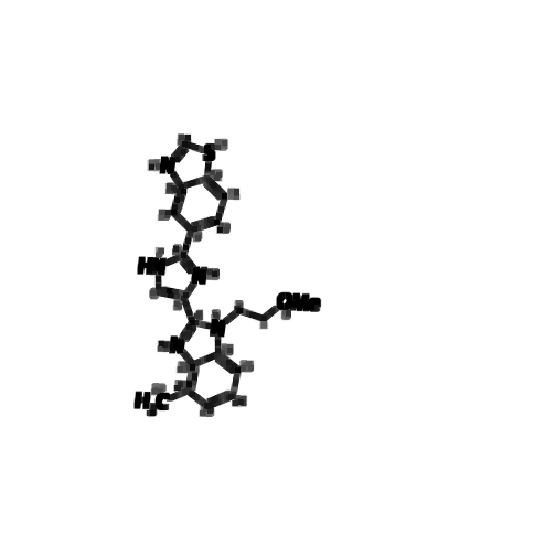 COCCn1c(-c2c[nH]c(-c3ccc4scnc4c3)n2)nc2c(C)cccc21